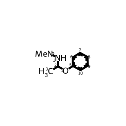 CNNC(C)Oc1ccccc1